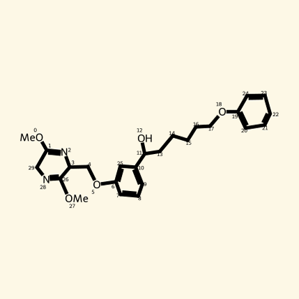 COC1=NC(COc2cccc(C(O)CCCCCOc3ccccc3)c2)C(OC)=NC1